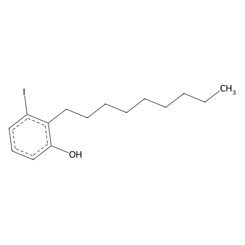 CCCCCCCCCc1c(O)cccc1I